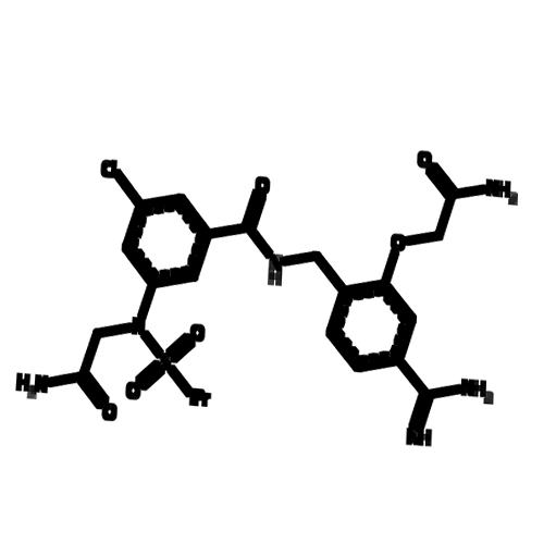 CC(C)S(=O)(=O)N(CC(N)=O)c1cc(Cl)cc(C(=O)NCc2ccc(C(=N)N)cc2OCC(N)=O)c1